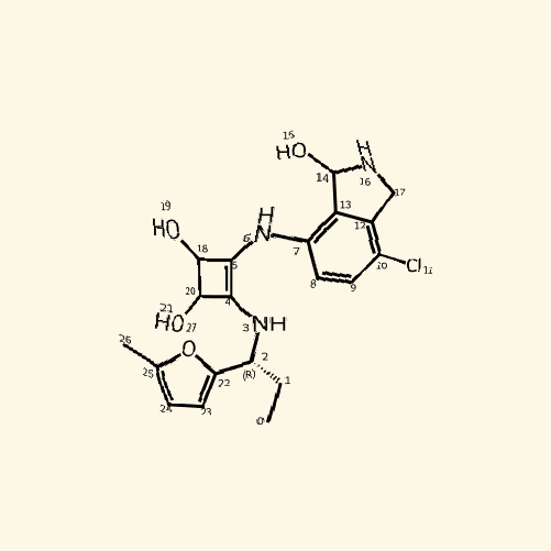 CC[C@@H](NC1=C(Nc2ccc(Cl)c3c2C(O)NC3)C(O)C1O)c1ccc(C)o1